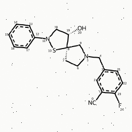 N#Cc1cc(CN2CC[C@]3(C2)SN(c2ccccc2)C[C@@H]3O)ccc1F